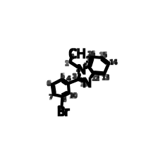 CCn1c(-c2cccc(Br)c2)nc2ccccc21